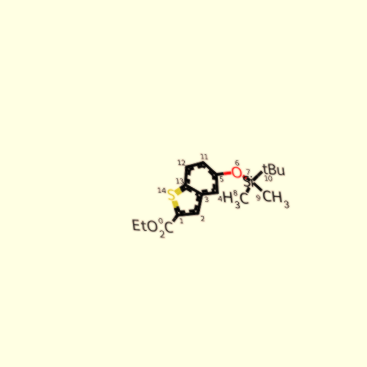 CCOC(=O)c1cc2cc(O[Si](C)(C)C(C)(C)C)ccc2s1